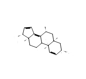 C[C@]12C=C[C@H](N)C[C@H]1C[C@H](O)C1=C3C=C[C@H](O)[C@@]3(C)CC[C@@H]12